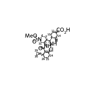 COC(=O)N1CCC(C(=N)c2ccc(C(=O)O)cc2F)=C(NC(=O)c2c(Cl)cccc2C2CC2)C1